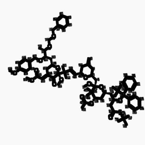 C=C1C[C@@H](C[C@]2(OC)O[C@H](CC(CC(=O)SC(C)(C)C)O[Si](c3ccccc3)(c3ccccc3)C(C)(C)C)C[C@H](OC(C)=O)C2(C)C)O[C@@H](C=CC(C)(C)[C@]2(OC)O[C@H](C[C@@H](OCc3ccc(OC)cc3)[C@@H](C)OCOCc3ccccc3)CC(=CC(=O)OC)C2=O)C1